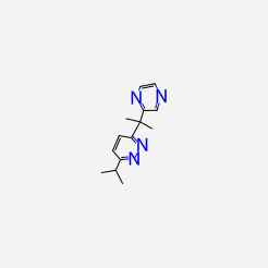 CC(C)c1ccc(C(C)(C)c2cnccn2)nn1